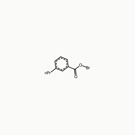 CCCc1cccc(C(=O)OBr)c1